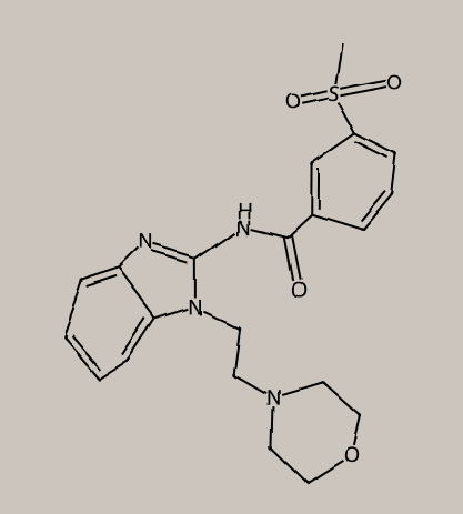 CS(=O)(=O)c1cccc(C(=O)Nc2nc3ccccc3n2CCN2CCOCC2)c1